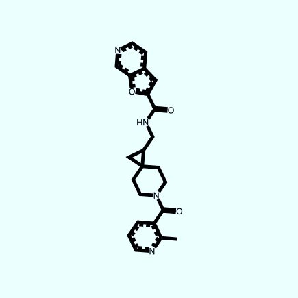 Cc1ncccc1C(=O)N1CCC2(CC1)CC2CNC(=O)c1cc2ccncc2o1